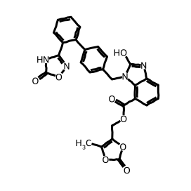 Cc1oc(=O)oc1COC(=O)c1cccc2nc(O)n(Cc3ccc(-c4ccccc4-c4noc(=O)[nH]4)cc3)c12